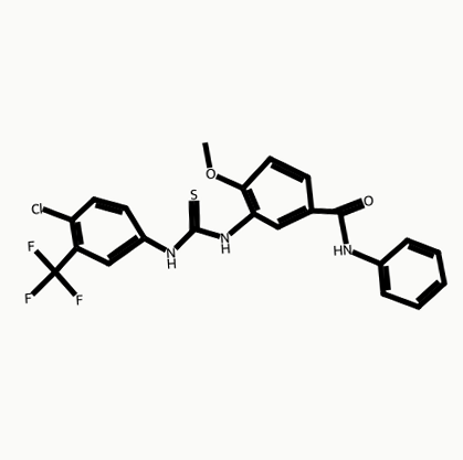 COc1ccc(C(=O)Nc2ccccc2)cc1NC(=S)Nc1ccc(Cl)c(C(F)(F)F)c1